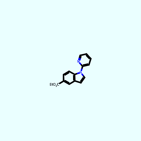 CCOC(=O)c1ccc2c(ccn2-c2ccccn2)c1